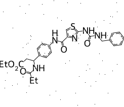 CCOC(=O)CC(NC(=O)CC)c1ccc(NC(=O)c2csc(NC(=O)NCc3ccccc3)n2)cc1